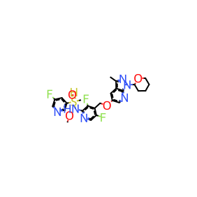 COc1ncc(F)cc1[SH](C)(=O)Nc1ncc(F)c(COc2cnc3c(c2)c(C)nn3C2CCCCO2)c1F